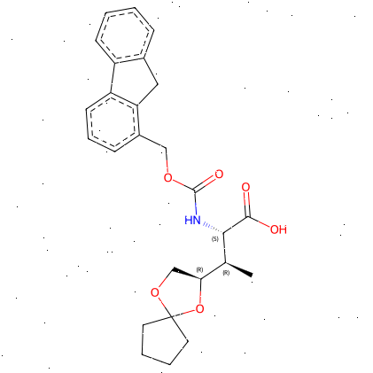 C[C@@H]([C@@H]1COC2(CCCC2)O1)[C@H](NC(=O)OCc1cccc2c1Cc1ccccc1-2)C(=O)O